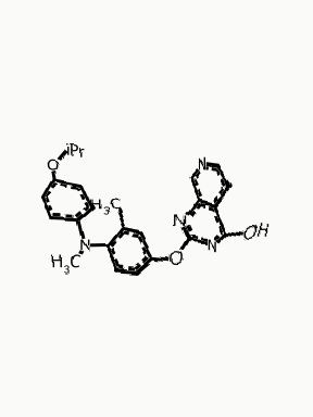 Cc1cc(Oc2nc(O)c3ccncc3n2)ccc1N(C)c1ccc(OC(C)C)cc1